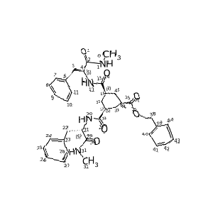 CNC(=O)[C@H](Cc1ccccc1)NC(=O)[C@@H]1C[C@H](C(=O)N[C@@H](Cc2ccccc2)C(=O)NC)C[C@H](C(=O)OCc2ccccc2)C1